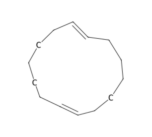 C1=C/CCCCC/C=C/CCCCC/1